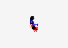 Cc1ccc(CN2CCC(NC(=O)c3ccc4c(c3)OCO4)CC2)cc1